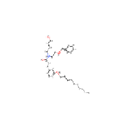 CCCCCCCCCCOc1cccc(CCC(=O)N(CCCCO)CCOCc2ccccc2)c1